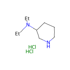 CCN(CC)C1CCCNC1.Cl.Cl